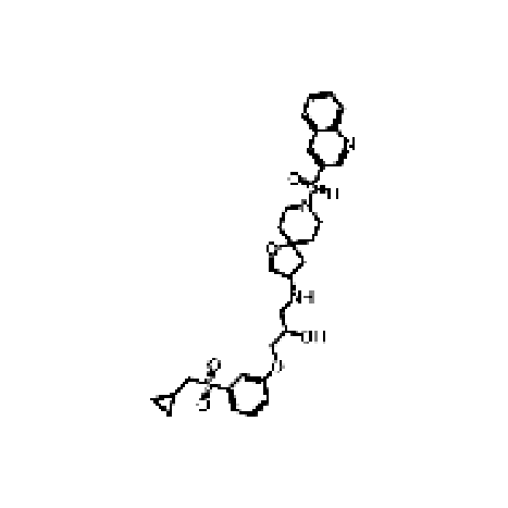 O=S(=O)(CC1CC1)c1cccc(OCC(O)CNC2COC3(CCN(S(=O)(=O)c4cnc5ccccc5c4)CC3)C2)c1